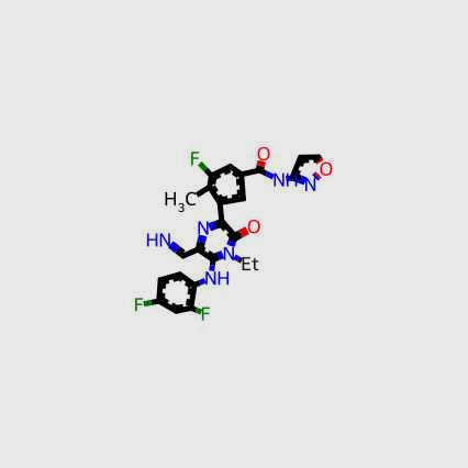 CCn1c(Nc2ccc(F)cc2F)c(C=N)nc(-c2cc(C(=O)Nc3ccon3)cc(F)c2C)c1=O